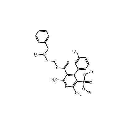 CCOP(=O)(OCC)c1c(C)nc(C)c(C(=O)OCCN(C)Cc2ccccc2)c1-c1cccc(C(F)(F)F)c1